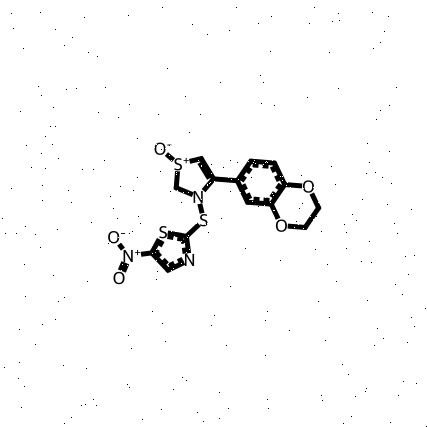 O=[N+]([O-])c1cnc(SN2C[S+]([O-])C=C2c2ccc3c(c2)OCCO3)s1